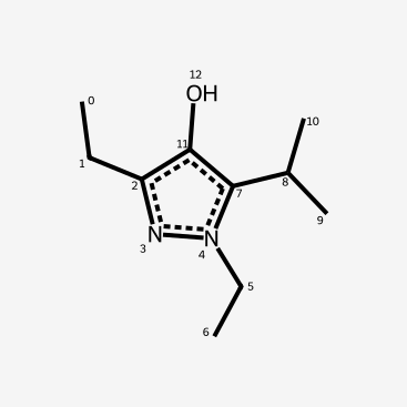 CCc1nn(CC)c(C(C)C)c1O